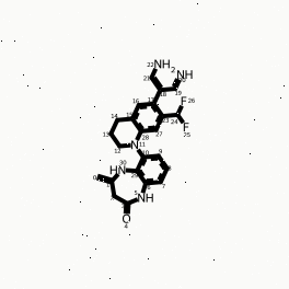 C=C1CC(=O)Nc2cccc(N3CCCc4cc(/C(C=N)=C/N)c(C(F)F)cc43)c2N1